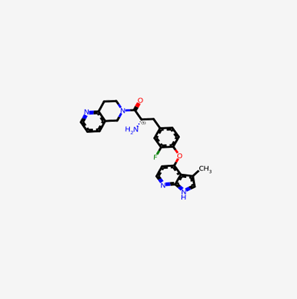 Cc1c[nH]c2nccc(Oc3ccc(C[C@H](N)C(=O)N4CCc5ncccc5C4)cc3F)c12